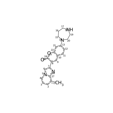 Cc1cccn2cc(-c3cc4ccc(N5CCCNCC5)cc4oc3=O)nc12